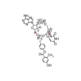 Cc1cc(O)ccc1C(=O)Oc1ccc(CS[P@]2(=O)OC[C@H]3O[C@@H](n4cnc5c(N)ncnc54)[C@H](OP(=O)(O)OC[C@H]4O[C@@H](n5ccc(=O)[nH]c5=O)[C@H](O2)[C@@H]4F)[C@@H]3F)cc1